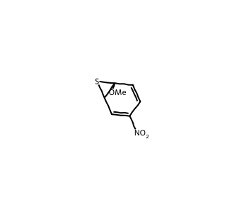 COC12C=CC([N+](=O)[O-])=CC1S2